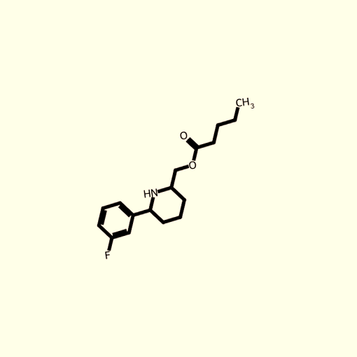 CCCCC(=O)OCC1CCCC(c2cccc(F)c2)N1